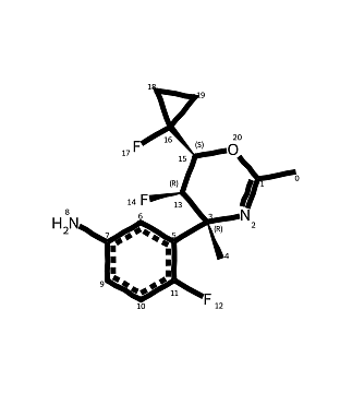 CC1=N[C@](C)(c2cc(N)ccc2F)[C@@H](F)[C@@H](C2(F)CC2)O1